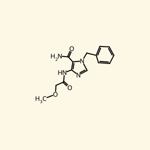 COCC(=O)Nc1ncn(Cc2ccccc2)c1C(N)=O